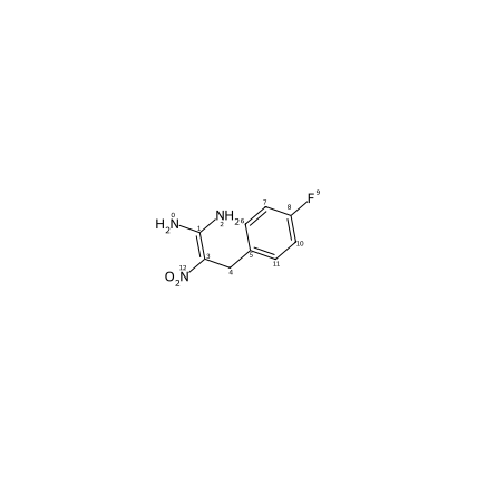 NC(N)=C(Cc1ccc(F)cc1)[N+](=O)[O-]